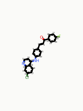 O=C(C=Cc1ccc(Nc2ccnc3cc(Cl)ccc23)cc1)c1ccc(F)cc1